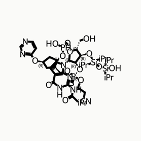 CC(C)C(=O)Nc1nc2c(ccn2[C@@H]2O[C@H](CO)[C@@H](O[Si](O[Si](O)(C(C)C)C(C)C)(C(C)C)C(C)C)[C@H]2O[P@@](=S)(OCCC#N)OC[C@H]2C[C@@H](Oc3ccncn3)C[C@@H]2O[PH](=O)O)c(=O)[nH]1